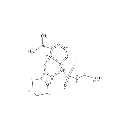 C1COCCO1.CN(C)c1cccc2c(S(=O)(=O)NCC(=O)O)cccc12